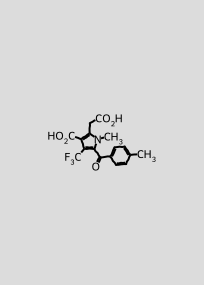 Cc1ccc(C(=O)c2c(C(F)(F)F)c(C(=O)O)c(CC(=O)O)n2C)cc1